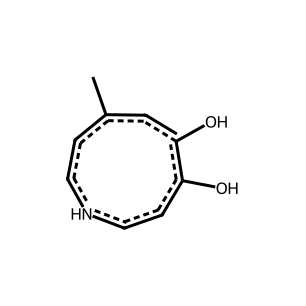 Cc1cc[nH]ccc(O)c(O)c1